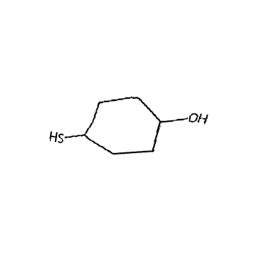 OC1CCC(S)CC1